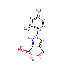 O=Cc1cn(-c2ccc(Cl)cc2Cl)nc1C(=O)O